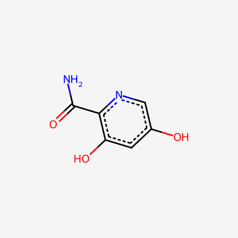 NC(=O)c1ncc(O)cc1O